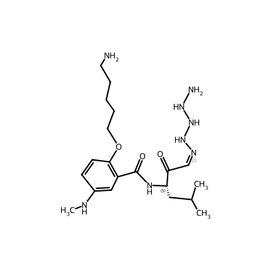 CNc1ccc(OCCCCCN)c(C(=O)N[C@@H](CC(C)C)C(=O)/C=N\NNNN)c1